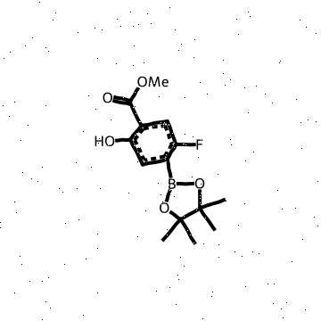 COC(=O)c1cc(F)c(B2OC(C)(C)C(C)(C)O2)cc1O